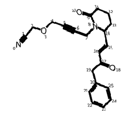 N#CCOCC#CCN1C(=O)CCCC1C=CC(=O)Cc1ccccc1